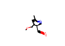 COCc1cc(C)ncc1C=O